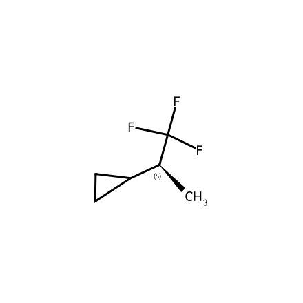 C[C@@H](C1CC1)C(F)(F)F